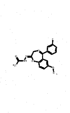 COc1ccc2c(c1)C(c1cccc(F)c1)=NC/C(=N/NC(C)=O)N2